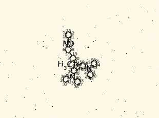 Cc1cc(-c2ccc3nc(-c4ccccc4)oc3c2)ccc1-n1c2ccc(N(c3ccccc3)c3ccccc3)cc2c2cc(N(c3ccccc3)c3ccccc3)ccc21